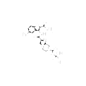 CC(C)(C)OC(=O)N1CCn2cc(C(=O)Nc3c(C(N)=O)oc4ccc(Br)cc34)nc2C1